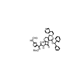 CON=C(C(=O)NC1C(=O)N2C(C(=O)OC(c3ccccc3)c3ccccc3)=C(CS/C=C\c3cccnc3)CS[C@@H]12)c1csc(NC=O)n1